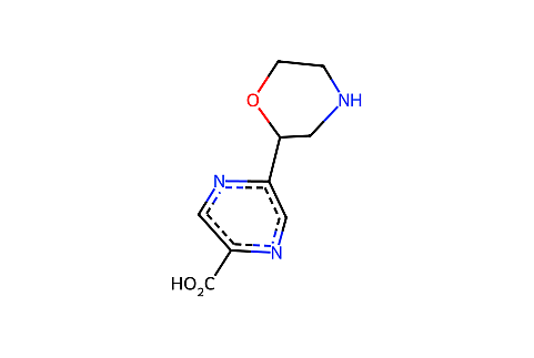 O=C(O)c1cnc(C2CNCCO2)cn1